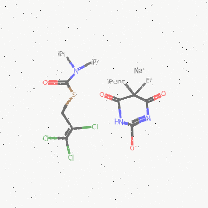 CC(C)N(C(=O)SCC(Cl)=C(Cl)Cl)C(C)C.CCCC(C)C1(CC)C(=O)N=C([O-])NC1=O.[Na+]